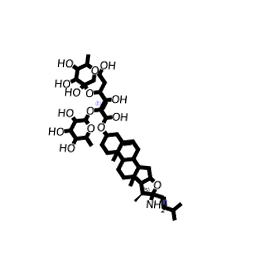 CC(C)/C=C/C1(N)OC2CC3C4CC=C5CC(OC(O)/C(OC6OC(C)C(O)C(O)C6O)=C(\O)C(CCO)OC6(O)COC(C)C(O)C6O)CCC5(C)C4CCC3(C)C2[C@@H]1C